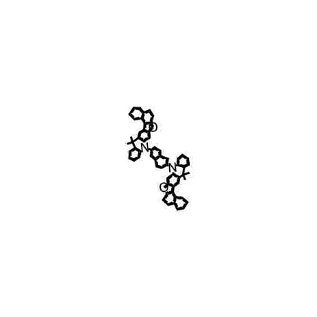 CC1(C)c2ccccc2N(c2ccc3cc(N4c5ccccc5C(C)(C)c5cc6c(cc54)oc4ccc5ccccc5c46)ccc3c2)c2cc3oc4ccc5ccccc5c4c3cc21